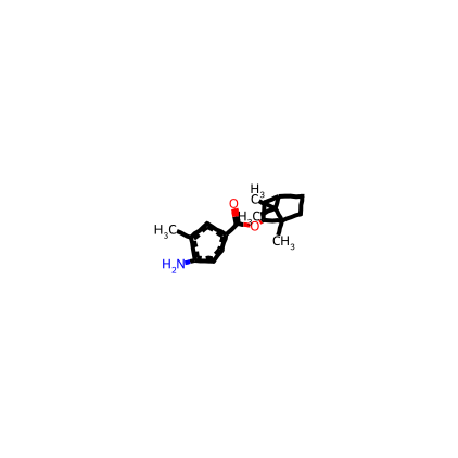 Cc1cc(C(=O)OC2CC3CCC2(C)C3(C)C)ccc1N